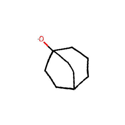 [O]C12CCCC(CC1)CC2